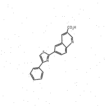 O=C(O)c1cnc2ccc(-c3nc(-c4ccccc4)cs3)cc2c1